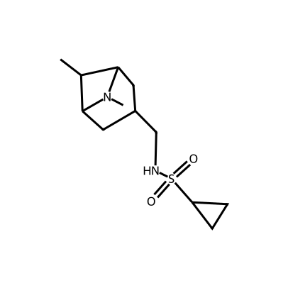 CC1C2CC(CNS(=O)(=O)C3CC3)CC1N2C